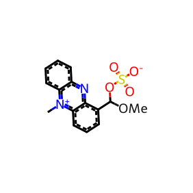 COC(OS(=O)(=O)[O-])c1cccc2c1nc1ccccc1[n+]2C